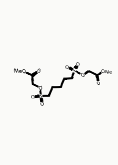 COC(=O)COS(=O)(=O)CCCCCS(=O)(=O)OCC(=O)OC